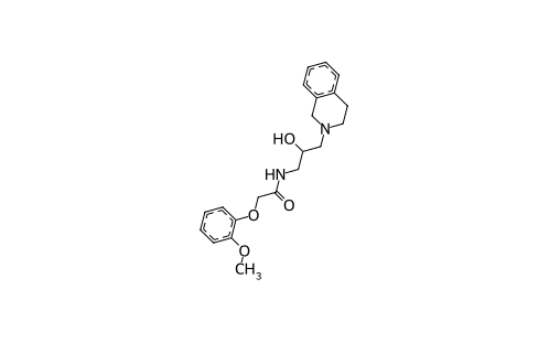 COc1ccccc1OCC(=O)NCC(O)CN1CCc2ccccc2C1